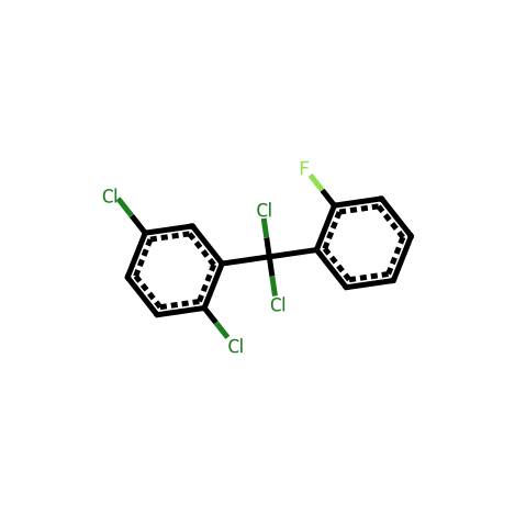 Fc1ccccc1C(Cl)(Cl)c1cc(Cl)ccc1Cl